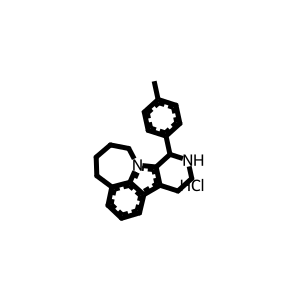 Cc1ccc(C2NCCc3c2n2c4c(cccc34)CCCC2)cc1.Cl